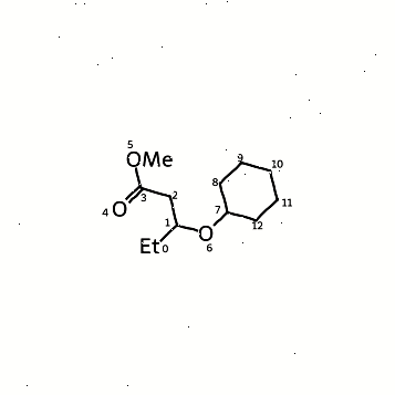 CCC(CC(=O)OC)OC1CCCCC1